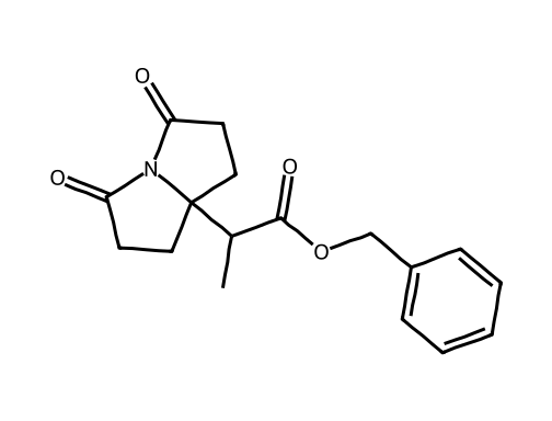 CC(C(=O)OCc1ccccc1)C12CCC(=O)N1C(=O)CC2